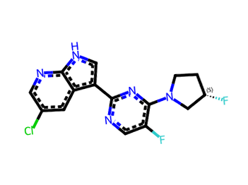 Fc1cnc(-c2c[nH]c3ncc(Cl)cc23)nc1N1CC[C@H](F)C1